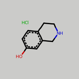 Cl.Oc1ccc2c(c1)CNCC2